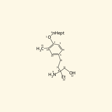 CCCCCCCOc1ccc(CCC(N)(CC)CO)cc1C